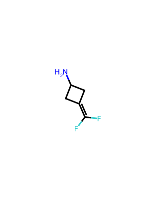 NC1CC(=C(F)F)C1